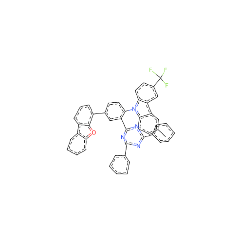 Cc1ccc2c(c1)c1cc(C(F)(F)F)ccc1n2-c1ccc(-c2cccc3c2oc2ccccc23)cc1-c1nc(-c2ccccc2)nc(-c2ccccc2)n1